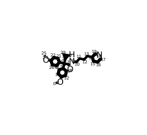 COc1ccc(C(C(=O)NCCCCc2cccnc2)(c2ccc(OC)cc2)C2CC2)cc1